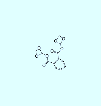 O=C(OC1OCO1)c1ccccc1C(=O)OC1OCO1